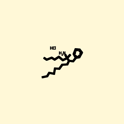 CCCCCCCCC(Cc1ccccc1)C(C)(N)CCCCCC.Cl